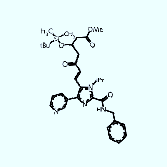 COC(=O)CC(CC(=O)/C=C/c1c(-c2cccnc2)nc(C(=O)NCc2ccccc2)n1C(C)C)O[Si](C)(C)C(C)(C)C